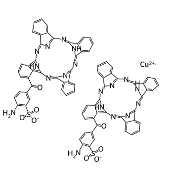 Nc1ccc(C(=O)c2cccc3c4nc5nc(nc6[nH]c(nc7nc(nc([nH]4)c23)-c2ccccc2-7)c2ccccc62)-c2ccccc2-5)cc1S(=O)(=O)[O-].Nc1ccc(C(=O)c2cccc3c4nc5nc(nc6[nH]c(nc7nc(nc([nH]4)c23)-c2ccccc2-7)c2ccccc62)-c2ccccc2-5)cc1S(=O)(=O)[O-].[Cu+2]